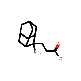 CCC(=O)CCC1([N+](=O)[O-])C2CC3CC(C2)CC1C3